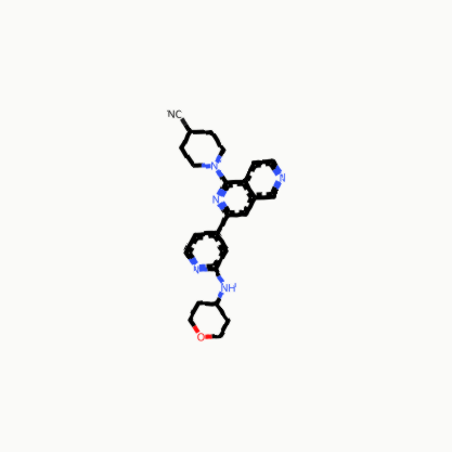 N#CC1CCN(c2nc(-c3ccnc(NC4CCOCC4)c3)cc3cnccc23)CC1